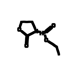 CCO[PH](=O)N1CCOC1=O